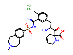 Cc1ccc(CC(N)C(=O)[C@@]2(C(=O)O)CC=CCN2)cc1C(=N)NS(=O)(=O)c1ccc2c(c1)CCN(C)CC2.Cl.Cl